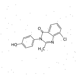 Cc1nc2c(Cl)cccc2c(=O)n1-c1ccc(O)cc1